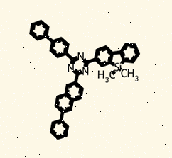 C[Si]1(C)c2ccccc2-c2ccc(-c3nc(-c4ccc(-c5ccccc5)cc4)nc(-c4ccc5cc(-c6ccccc6)ccc5c4)n3)cc21